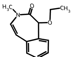 CCOC1C(=O)N(C)C=Cc2ccccc21